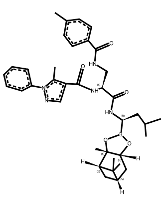 Cc1ccc(C(=O)NC[C@H](NC(=O)c2cnn(-c3ccccc3)c2C)C(=O)N[C@@H](CC(C)C)B2O[C@@H]3C[C@@H]4C[C@@H](C4(C)C)[C@]3(C)O2)cc1